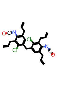 C=CCc1cc(Cc2cc(CC=C)c(N=C=O)c(CC=C)c2Cl)c(Cl)c(CC=C)c1N=C=O